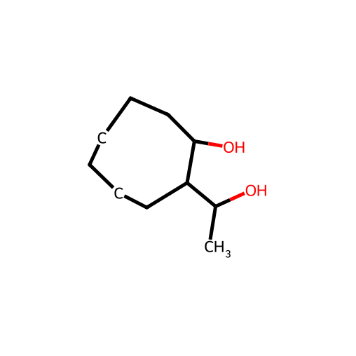 CC(O)C1CCCCCCC1O